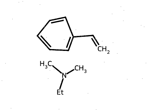 C=Cc1ccccc1.CCN(C)C